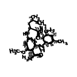 COc1nc(NC(CC(C)C)C(N)=O)nc(Nc2cc(C)cc(C)c2)c1C(N)=O